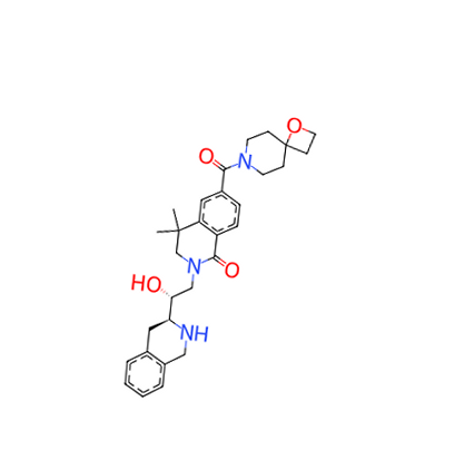 CC1(C)CN(C[C@@H](O)[C@@H]2Cc3ccccc3CN2)C(=O)c2ccc(C(=O)N3CCC4(CCO4)CC3)cc21